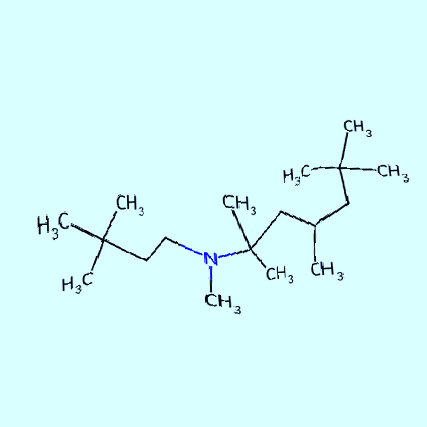 CC(CC(C)(C)C)CC(C)(C)N(C)CCC(C)(C)C